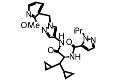 COc1ncccc1Cn1cc(NC(=O)[C@@H](NC(=O)c2ccnn2C(C)C)C(C2CC2)C2CC2)cn1